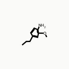 CCCc1ccc(N)c(OC)c1